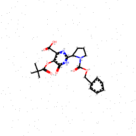 CC(C)(C)C(=O)Oc1c(C(=O)O)nc(C2CCCN2C(=O)OCc2ccccc2)[nH]c1=O